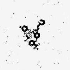 CNC(=O)c1ccccc1Sc1ccc2c(/C=C/c3ccccn3)nn(P(=O)(N[C@@H](C)C(=O)OC)Oc3ccc(C)cc3)c2c1